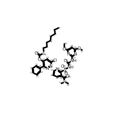 CCCCCCCCSC(=O)Oc1cc(Cl)nnc1-c1ccccc1.COc1cc(OC)nc(NC(=O)NS(=O)(=O)c2ncccc2C(=O)N(C)C)n1